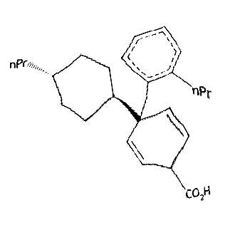 CCCc1ccccc1C1([C@H]2CC[C@H](CCC)CC2)C=CC(C(=O)O)C=C1